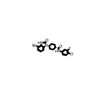 O=c1[nH]c2c(Br)cccc2n1[C@H]1CC[C@@H](C(=O)Nc2ccc(Cl)c(F)c2)CC1